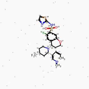 C=N/C=C(\C=C/C)[C@@H]1C[C@H](C(F)(F)F)CCN1[C@H]1CCOc2cc(S(=O)(=O)Nc3nccs3)c(F)cc21